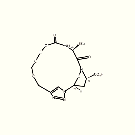 CC(C)(C)[C@@H]1NC(=O)OCCCCCc2cn(nn2)[C@@H]2C[C@@H](C(=O)O)N(C2)C1=O